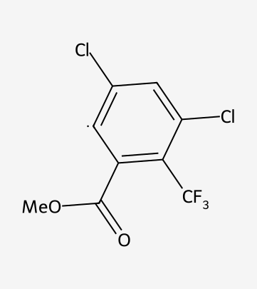 COC(=O)c1[c]c(Cl)cc(Cl)c1C(F)(F)F